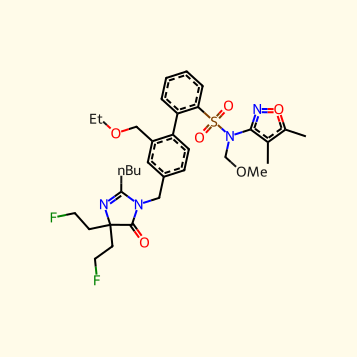 CCCCC1=NC(CCF)(CCF)C(=O)N1Cc1ccc(-c2ccccc2S(=O)(=O)N(COC)c2noc(C)c2C)c(COCC)c1